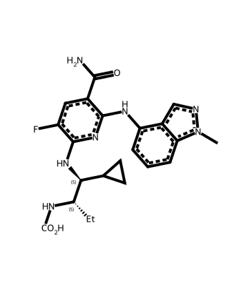 CC[C@H](NC(=O)O)[C@@H](Nc1nc(Nc2cccc3c2cnn3C)c(C(N)=O)cc1F)C1CC1